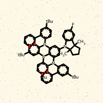 CC(C)(C)c1ccc2c(c1)B1c3ccc(C(C)(C)C)cc3N(c3ccc(C(C)(C)C)cc3-c3ccccc3)c3cc(N4c5ccc(F)cc5C5(C)CCCC45C)cc(c31)N2c1ccc(C(C)(C)C)cc1-c1ccccc1